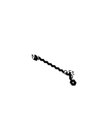 CCC(COCCCCCCCCCCCCCCn1ccnc1)OCc1ccccc1